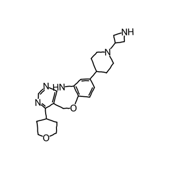 c1nc2c(c(C3CCOCC3)n1)COc1ccc(C3CCN(C4CNC4)CC3)cc1N2